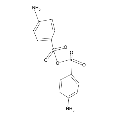 Nc1ccc(S(=O)(=O)OS(=O)(=O)c2ccc(N)cc2)cc1